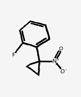 O=[N+]([O-])C1(c2ccccc2F)CC1